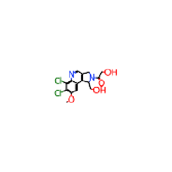 COc1cc2c3c(cnc2c(Cl)c1Cl)CN(C(=O)CO)C3CO